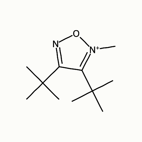 C[n+]1onc(C(C)(C)C)c1C(C)(C)C